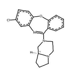 Clc1ccc2c(c1)N=C(N1CCN3CCC[C@H]3C1)c1ccccc1O2